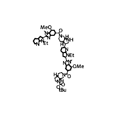 CCn1c(-c2nc3cc(C(=O)N4CC[C@H]5C(c6ccc7cc(-c8nc9cc(C(=O)N%10CC[C@H]%11CCN(C(=O)OC(C)(C)C)[C@H]%11C%10)cc(OC)c9n8C)n(CC)c7n6)CN[C@H]5C4)cc(OC)c3n2C)cc2cccnc21